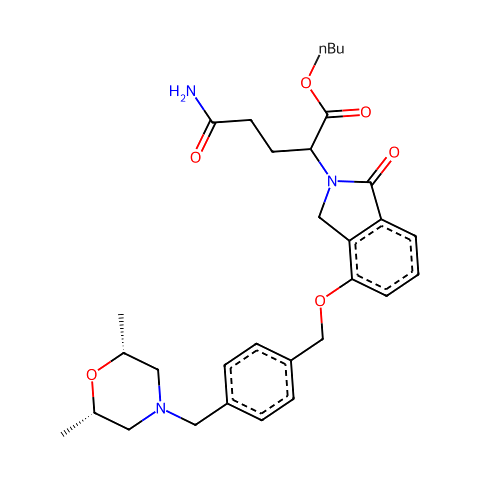 CCCCOC(=O)C(CCC(N)=O)N1Cc2c(OCc3ccc(CN4C[C@@H](C)O[C@@H](C)C4)cc3)cccc2C1=O